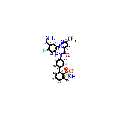 NCc1cc(-n2nc(C(F)(F)F)cc2C(=O)Nc2ccc(-c3cccc4c3S(=O)(=O)NC4)cc2)ccc1F